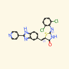 O=C1N/C(=N/c2c(Cl)cccc2Cl)S/C1=C\c1ccc2[nH]c(-c3ccncc3)nc2c1